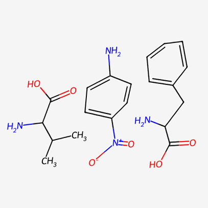 CC(C)C(N)C(=O)O.NC(Cc1ccccc1)C(=O)O.Nc1ccc([N+](=O)[O-])cc1